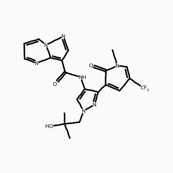 Cn1cc(C(F)(F)F)cc(-c2nn(CC(C)(C)O)cc2NC(=O)c2cnn3cccnc23)c1=O